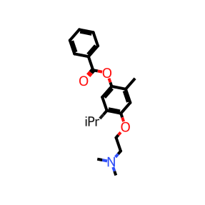 Cc1cc(OCCN(C)C)c(C(C)C)cc1OC(=O)c1ccccc1